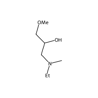 CCN(C)CC(O)COC